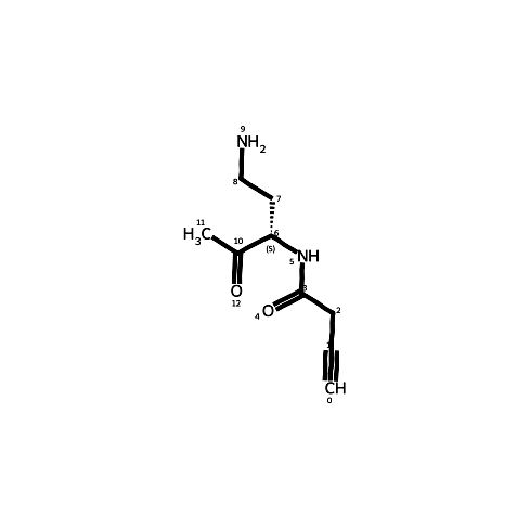 C#CCC(=O)N[C@@H](CCN)C(C)=O